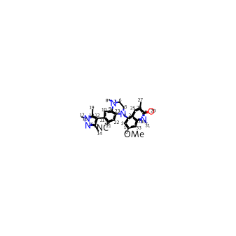 COc1cc(N2CCN(C)c3cc(-c4c(C)nn(C)c4C)c(C#N)cc32)c2cc(C)c(=O)n(C)c2c1